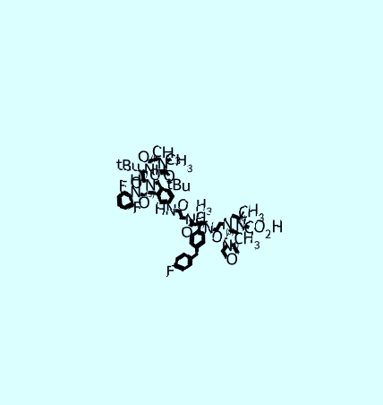 C[C@@H]1COCCN1C[C@H]1CN(C(=O)O)[C@H](C)CN1CC(=O)N1C[C@@](C)(C(=O)NCC(=O)Nc2ccc3c(c2)[C@@H](C(=O)Nc2c(F)cccc2F)N(C(=O)[C@@H](NC(=O)[C@H](C)N(C)C(=O)OC(C)(C)C)C(C)(C)C)C3)c2ccc(Cc3ccc(F)cc3)cc21